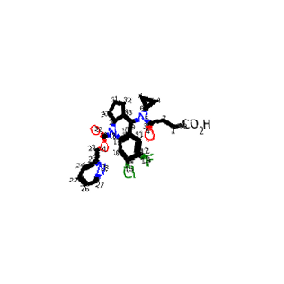 O=C(O)CCC(=O)N(C1CC1)C1c2cc(F)c(Cl)cc2N(C(=O)OCc2ccccn2)C2CCCC21